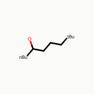 CCCCC([O])CCCC(C)(C)C